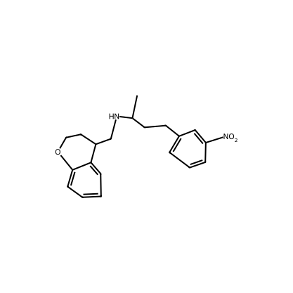 CC(CCc1cccc([N+](=O)[O-])c1)NCC1CCOc2ccccc21